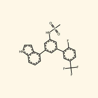 CS(=O)(=O)Nc1cc(-c2cc(C(F)(F)F)ccc2F)cc(-c2cccc3[nH]ccc23)c1